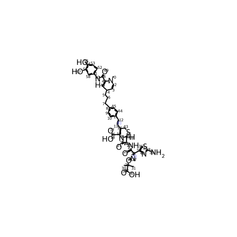 CN1C=CC(CCCc2ccc(/C=C/C3=C(C(=O)O)N4C(=O)[C@@H](NC(=O)/C(=N\OC(C)(C)C(=O)O)c5csc(N)n5)[C@@H]4SC3)cc2)C=C1C(=O)Nc1ccc(O)c(O)c1